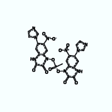 CP(=O)(On1c(=O)c(=O)[nH]c2cc(-n3ccnc3)c([N+](=O)[O-])cc21)On1c(=O)c(=O)[nH]c2cc(-n3ccnc3)c([N+](=O)[O-])cc21